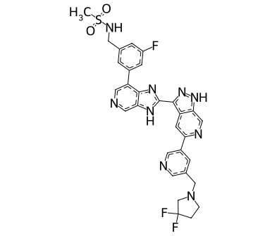 CS(=O)(=O)NCc1cc(F)cc(-c2cncc3[nH]c(-c4n[nH]c5cnc(-c6cncc(CN7CCC(F)(F)C7)c6)cc45)nc23)c1